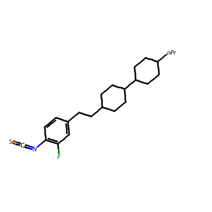 CCCC1CCC(C2CCC(CCc3ccc(N=C=S)c(F)c3)CC2)CC1